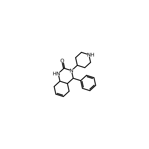 O=C1NC2CC=CCC2C(c2ccccc2)N1C1CCNCC1